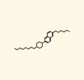 CCCCCCCCC1CCC(c2ccc3cc(CCCCCC)ccc3c2)CC1